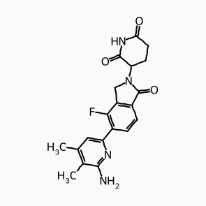 Cc1cc(-c2ccc3c(c2F)CN(C2CCC(=O)NC2=O)C3=O)nc(N)c1C